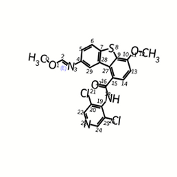 CO/C=N/c1ccc2sc3c(OC)ccc(C(=O)Nc4c(Cl)cncc4Cl)c3c2c1